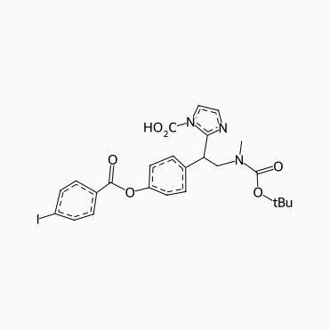 CN(CC(c1ccc(OC(=O)c2ccc(I)cc2)cc1)c1nccn1C(=O)O)C(=O)OC(C)(C)C